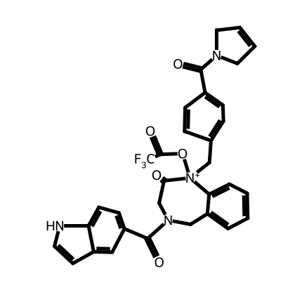 O=C(c1ccc(C[N+]2(OC(=O)C(F)(F)F)C(=O)CN(C(=O)c3ccc4[nH]ccc4c3)Cc3ccccc32)cc1)N1CC=CC1